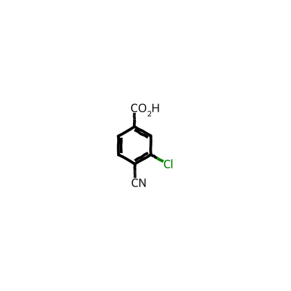 N#Cc1ccc(C(=O)O)cc1Cl